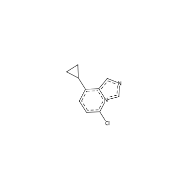 Clc1ccc(C2CC2)c2cncn12